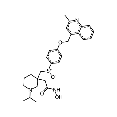 Cc1cc(COc2ccc([S+]([O-])CC3(CC(=O)NO)CCCN(C(C)C)C3)cc2)c2ccccc2n1